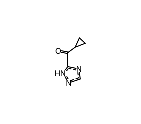 O=C(c1ncn[nH]1)C1CC1